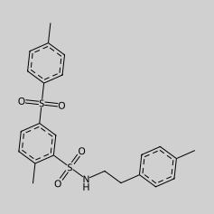 Cc1ccc(CCNS(=O)(=O)c2cc(S(=O)(=O)c3ccc(C)cc3)ccc2C)cc1